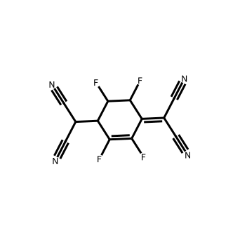 N#CC(C#N)=C1C(F)=C(F)C(C(C#N)C#N)C(F)C1F